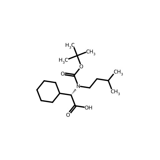 CC(C)CCN(C(=O)OC(C)(C)C)[C@H](C(=O)O)C1CCCCC1